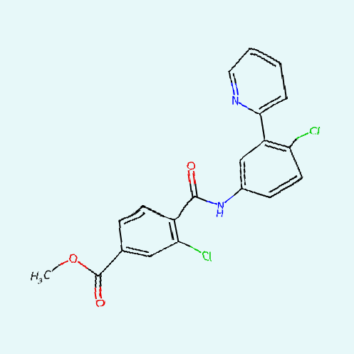 COC(=O)c1ccc(C(=O)Nc2ccc(Cl)c(-c3ccccn3)c2)c(Cl)c1